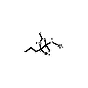 CCCC(N)(NCC)C(C)(C)O[SiH3]